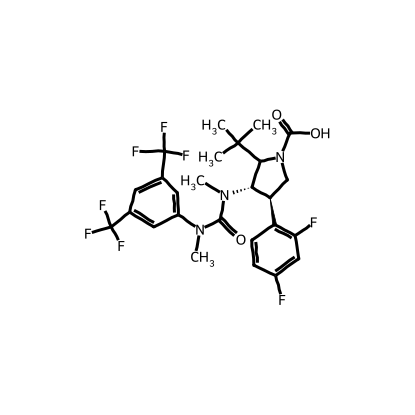 CN(C(=O)N(C)[C@@H]1C(C(C)(C)C)N(C(=O)O)C[C@H]1c1ccc(F)cc1F)c1cc(C(F)(F)F)cc(C(F)(F)F)c1